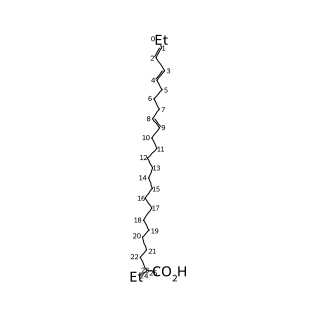 CCC=CC=CCCCC=CCCCCCCCCCCCCCC(CC)C(=O)O